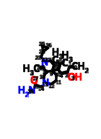 C=C/C(O)=C\C(=C(C)C)C12CCCN(CC(N)=O)CC1C(C)N(CC1CC1)CC2